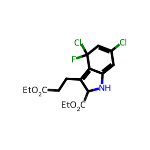 CCOC(=O)CCC1=C2C(=CC(Cl)=CC2(F)Cl)NC1C(=O)OCC